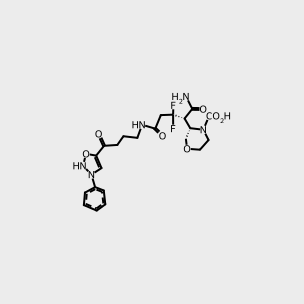 NC(=O)[C@H]([C@H]1COCCN1C(=O)O)C(F)(F)CC(=O)NCCCC(=O)C1=CN(c2ccccc2)NO1